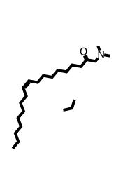 CCC.CCCCCCCC/C=C\CCCCCCCC(=O)CN(C)C